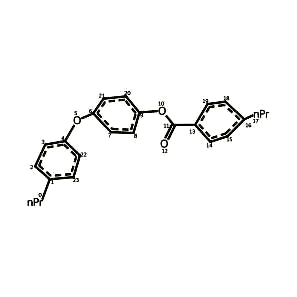 CCCc1ccc(Oc2ccc(OC(=O)c3ccc(CCC)cc3)cc2)cc1